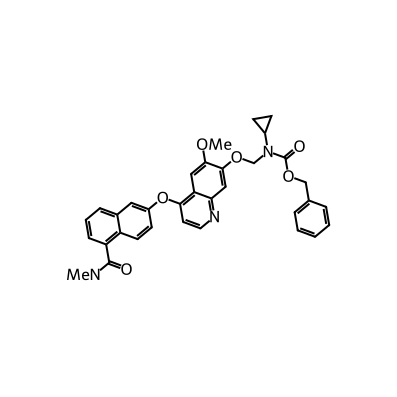 CNC(=O)c1cccc2cc(Oc3ccnc4cc(OCN(C(=O)OCc5ccccc5)C5CC5)c(OC)cc34)ccc12